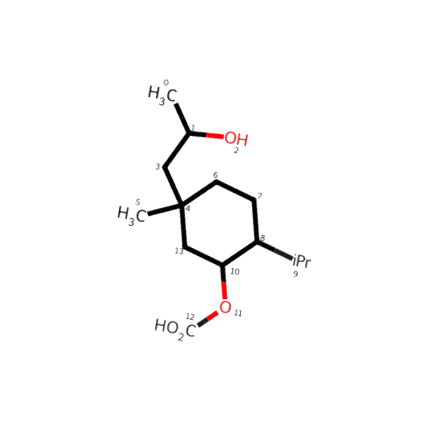 CC(O)CC1(C)CCC(C(C)C)C(OC(=O)O)C1